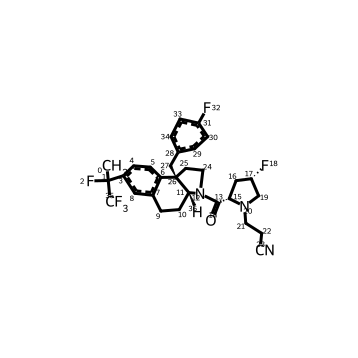 CC(F)(c1ccc2c(c1)CC[C@H]1N(C(=O)[C@@H]3C[C@H](F)CN3CCC#N)CC[C@@]21Cc1ccc(F)cc1)C(F)(F)F